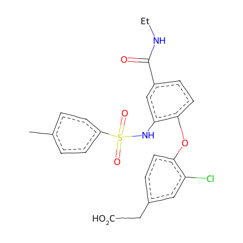 CCNC(=O)c1ccc(Oc2ccc(CC(=O)O)cc2Cl)c(NS(=O)(=O)c2ccc(C)cc2)c1